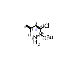 C=C(I)/C=C(/Cl)N(N)C(C)(C)C